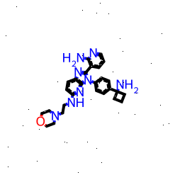 Nc1ncccc1-c1nc2ccc(NCCN3CCOCC3)nc2n1-c1ccc(C2(N)CCC2)cc1